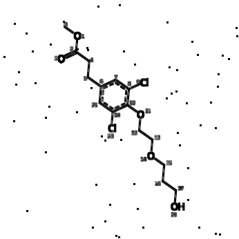 COC(=O)CCc1cc(Cl)c(OCCOCCCO)c(Cl)c1